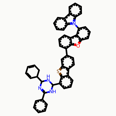 C1=CCC(C2N=C(c3ccccc3)NC(c3cccc4c3sc3cc(-c5cccc6c5oc5cccc(-n7c8ccccc8c8ccccc87)c56)ccc34)N2)C=C1